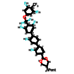 CCCCCC1COC(c2ccc(-c3ccc(-c4cc(F)c(C(F)(F)Oc5cc(F)c(C(F)(F)F)c(F)c5)c(F)c4)c(F)c3)c(F)c2)OC1